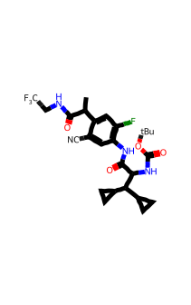 CC(C(=O)NCC(F)(F)F)c1cc(F)c(NC(=O)C(NC(=O)OC(C)(C)C)C(C2CC2)C2CC2)cc1C#N